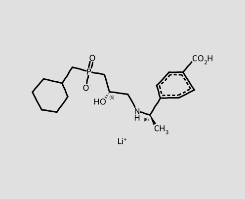 C[C@@H](NC[C@H](O)CP(=O)([O-])CC1CCCCC1)c1ccc(C(=O)O)cc1.[Li+]